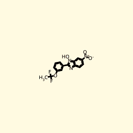 CC(F)(F)Oc1cccc(-c2nc3ccc([N+](=O)[O-])cc3n2O)c1